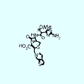 CON=C(C(=O)NC1C(=O)N2C(C(=O)O)=C(C[n+]3ccc4ccsc4c3)SCC12)c1csc(N)n1